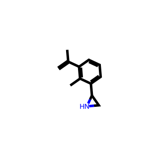 C=C(C)c1cccc(C2CN2)c1C